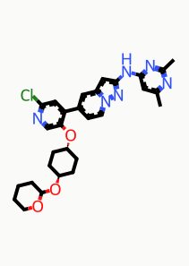 Cc1cc(Nc2cc3cc(-c4cc(Cl)ncc4O[C@H]4CC[C@H](OC5CCCCO5)CC4)ccn3n2)nc(C)n1